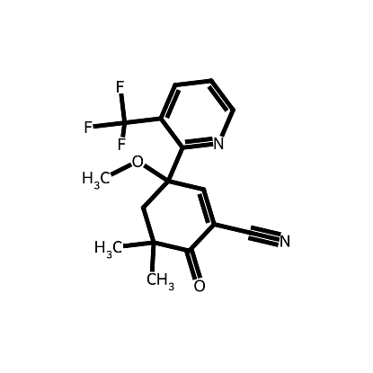 COC1(c2ncccc2C(F)(F)F)C=C(C#N)C(=O)C(C)(C)C1